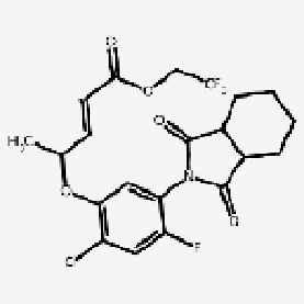 CC(C=CC(=O)OCC(F)(F)F)Oc1cc(N2C(=O)C3CCCCC3C2=O)c(F)cc1Cl